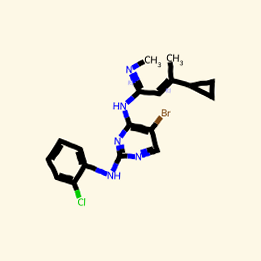 C/N=C(\C=C(/C)C1CC1)Nc1nc(Nc2ccccc2Cl)ncc1Br